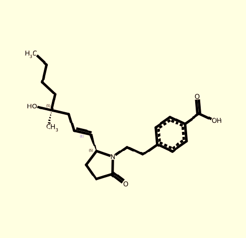 CCCC[C@](C)(O)C/C=C/[C@@H]1CCC(=O)N1CCc1ccc(C(=O)O)cc1